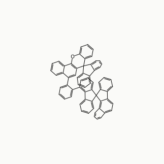 c1ccc2c(c1)Oc1c(cc(-c3ccccc3-c3cccc4c3-c3ccccc3C43c4ccccc4-c4ccc5ccccc5c43)c3ccccc13)C21c2ccccc2-c2ccccc21